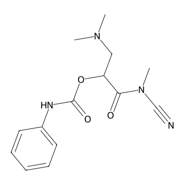 CN(C)CC(OC(=O)Nc1ccccc1)C(=O)N(C)C#N